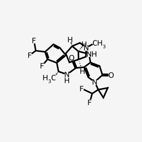 C[C@@H](NC(=O)c1cn(C2(C(F)F)CC2)c(=O)cc1N[C@H]1[C@@H]2CC[C@H]1CN(C)C2)c1cccc(C(F)F)c1F